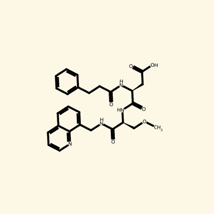 COC[C@H](NC(=O)[C@H](CC(=O)O)NC(=O)CCc1ccccc1)C(=O)NCc1cccc2cccnc12